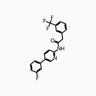 O=C(Cc1cccc(C(F)(F)F)c1)Nc1ccc(-c2cc[c]c(F)c2)cn1